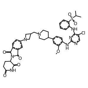 COc1cc(C2CCN(CC3CN(c4ccc5c(c4)C(=O)N(C4CCC(=O)NC4=O)C5=O)C3)CC2)ccc1Nc1ncc(Cl)c(Nc2ccccc2S(=O)(=O)C(C)C)n1